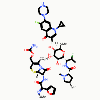 CCC[C@@H]1C[C@@H](C(=O)NC(C(C)Cl)[C@H]2O[C@H](SC)[C@H](O)[C@@H](O)[C@H]2O)N(C)C1.CO/N=C(/C(=O)N[C@@H]1C(=O)N2C(C(=O)O)=C(COC(N)=O)CS[C@H]12)c1ccco1.O=C(O)c1cn(C2CC2)c2cc(N3CCNCC3)c(F)cc2c1=O